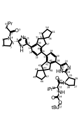 CC(C)CC(=O)N1CCC[C@H]1c1ncc(-c2ccc(-c3ccc(-c4cnc([C@H]5CCCN5C(=O)[C@@H](NC(=O)OC(C)(C)C)C(C)C)[nH]4)c4c3CC3(CCCC3)C4)c3c2CC2(CCCC2)C3)[nH]1